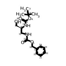 CC(C)(C)OC(=O)N[C@H](CO)CNC(=O)OCc1ccccc1